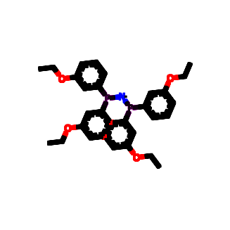 CCOc1cccc(P([N]P(c2cccc(OCC)c2)c2cccc(OCC)c2)c2cccc(OCC)c2)c1